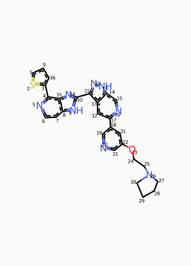 c1csc(-c2nccc3[nH]c(-c4n[nH]c5cnc(-c6cncc(OCCN7CCCC7)c6)cc45)nc23)c1